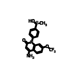 C[C@@H](O)c1ccc(-n2c(=O)cc(N)c3ccc(OC(F)(F)F)cc32)cc1